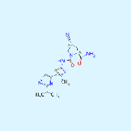 Cc1nc(NC(=O)N2C[C@H](C#N)C[C@H]2C(N)=O)sc1-c1ccnc(C(C)C)n1